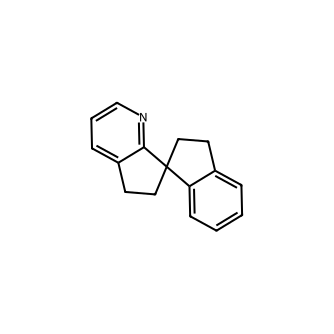 c1ccc2c(c1)CCC21CCc2cccnc21